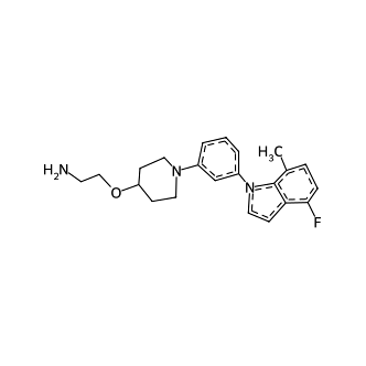 Cc1ccc(F)c2ccn(-c3cccc(N4CCC(OCCN)CC4)c3)c12